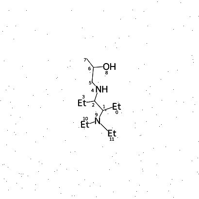 CC[C](C(CC)NCC(C)O)N(CC)CC